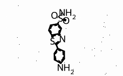 Nc1ccc(-c2nc3cc(S(N)(=O)=O)ccc3s2)cc1